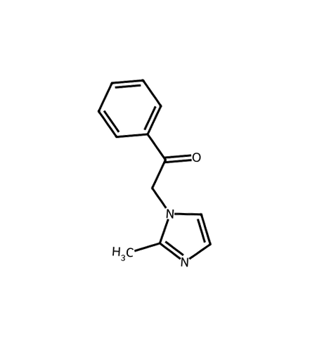 Cc1nccn1CC(=O)c1ccccc1